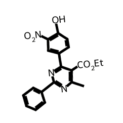 CCOC(=O)c1c(C)nc(-c2ccccc2)nc1-c1ccc(O)c([N+](=O)[O-])c1